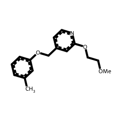 COCCOc1cc(COc2cccc(C)c2)ccn1